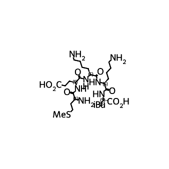 CC[C@H](C)[C@H](NC(=O)[C@H](CCCCN)NC(=O)[C@H](CCCCN)NC(=O)[C@H](CCC(=O)O)NC(=O)[C@@H](N)CCSC)C(=O)O